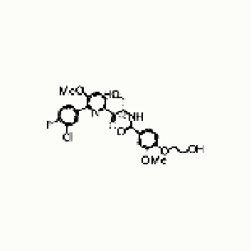 COc1cc(C(=O)N[C@@H](CO)C(=O)c2ccc(OC)c(-c3ccc(F)c(Cl)c3)n2)ccc1OCCO